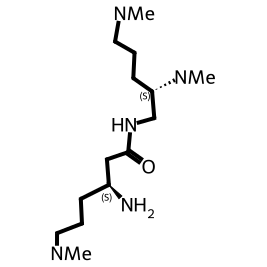 CNCCC[C@H](N)CC(=O)NC[C@H](CCCNC)NC